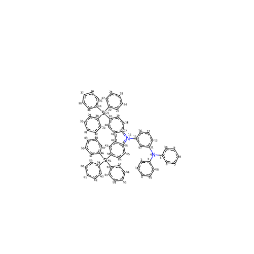 c1ccc(N(c2ccccc2)c2cccc(-n3c4ccc([Si](c5ccccc5)(c5ccccc5)c5ccccc5)cc4c4cc([Si](c5ccccc5)(c5ccccc5)c5ccccc5)ccc43)c2)cc1